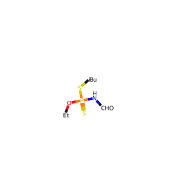 CCOP(=S)(NC=O)SC(C)CC